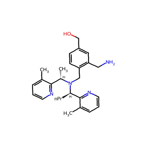 CCC[C@H](c1ncccc1C)N(Cc1ccc(CO)cc1CN)[C@@H](C)c1ncccc1C